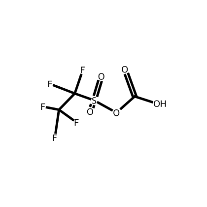 O=C(O)OS(=O)(=O)C(F)(F)C(F)(F)F